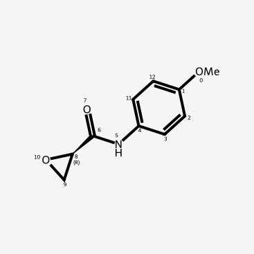 COc1ccc(NC(=O)[C@H]2CO2)cc1